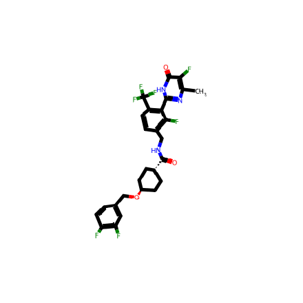 Cc1nc(-c2c(C(F)(F)F)ccc(CNC(=O)[C@H]3CC[C@H](OCc4ccc(F)c(F)c4)CC3)c2F)[nH]c(=O)c1F